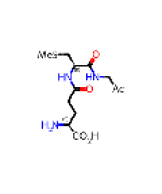 CSC[C@H](NC(=O)CC[C@H](N)C(=O)O)C(=O)NCC(C)=O